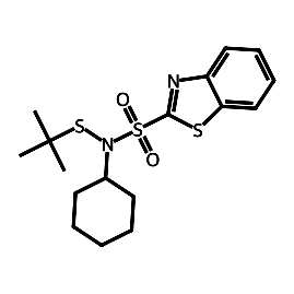 CC(C)(C)SN(C1CCCCC1)S(=O)(=O)c1nc2ccccc2s1